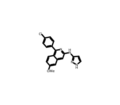 COc1ccc2c(-c3ccc(Cl)cc3)nc(Nc3cc[nH]n3)cc2c1